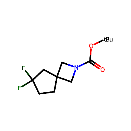 CC(C)(C)OC(=O)N1CC2(CCC(F)(F)C2)C1